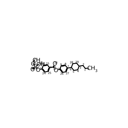 CCCC1CCC(c2ccc(OC(=O)c3ccc(OP(=O)(O)OC)cc3)cc2)CC1